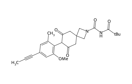 CC#Cc1cc(C)c(C2C(=O)CC3(CC2=O)CN(C(=O)NC(=O)C(C)(C)C)C3)c(OC)c1